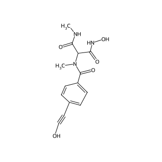 CNC(=O)C(C(=O)NO)N(C)C(=O)c1ccc(C#CO)cc1